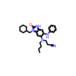 CCCCN(CCC#N)c1cc2c(cc1Nc1ccccc1)[nH]c(=O)n2CC1CCCCC1